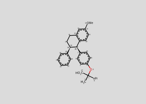 CCCC(C)(Oc1ccc([C@@H]2c3ccc(OC)cc3CC[C@@H]2c2ccccc2)cc1)C(=O)O